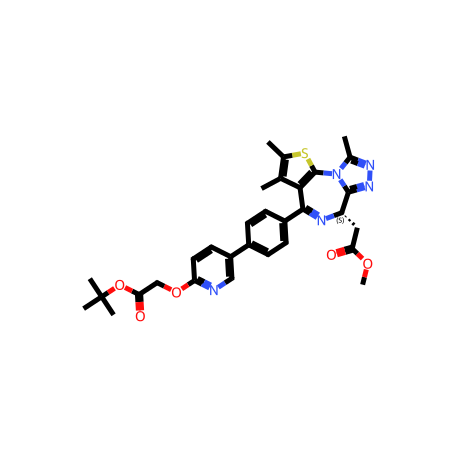 COC(=O)C[C@@H]1N=C(c2ccc(-c3ccc(OCC(=O)OC(C)(C)C)nc3)cc2)c2c(sc(C)c2C)-n2c(C)nnc21